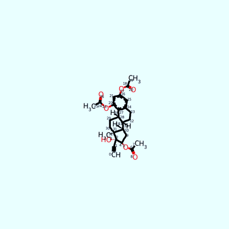 C#C[C@]1(O)[C@H](OC(C)=O)C[C@H]2[C@H]3CCc4cc(OC(C)=O)cc(OC(C)=O)c4[C@H]3CC[C@@]21C